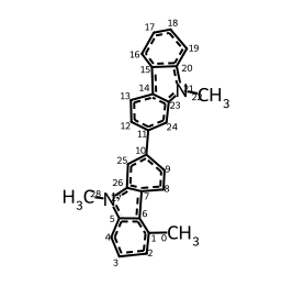 Cc1cccc2c1c1ccc(-c3ccc4c5ccccc5n(C)c4c3)cc1n2C